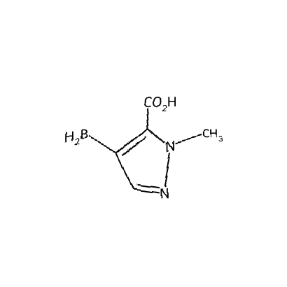 Bc1cnn(C)c1C(=O)O